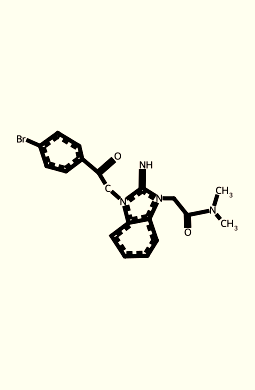 CN(C)C(=O)Cn1c(=N)n(CC(=O)c2ccc(Br)cc2)c2ccccc21